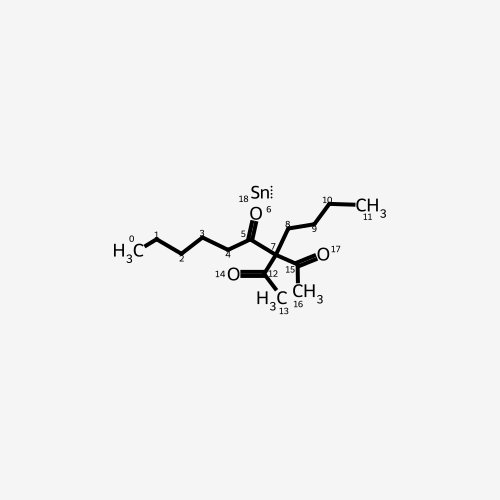 CCCCCC(=O)C(CCCC)(C(C)=O)C(C)=O.[Sn]